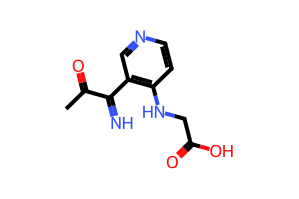 CC(=O)C(=N)c1cnccc1NCC(=O)O